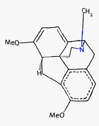 COC1=CC=C2C3Cc4ccc(OC)c5c4[C@@]2(CCN3C)[C@H]1C5